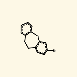 Brc1ccc2c(c1)Sc1ccccc1CC2